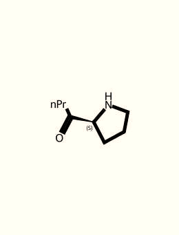 CCCC(=O)[C@@H]1CCCN1